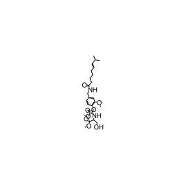 COC(=O)C(CO)NP(=O)(OC)Oc1ccc(CNC(=O)CCCC/C=C/C(C)C)cc1OC